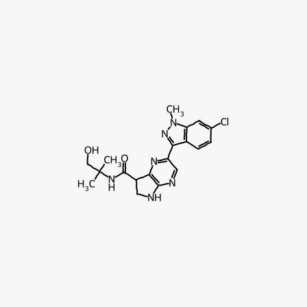 Cn1nc(-c2cnc3c(n2)C(C(=O)NC(C)(C)CO)CN3)c2ccc(Cl)cc21